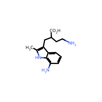 Cc1[nH]c2c(N)cccc2c1CC(CCN)C(=O)O